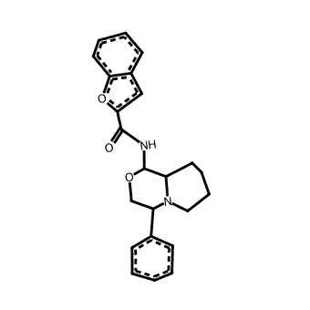 O=C(NC1OCC(c2ccccc2)N2CCCCC12)c1cc2ccccc2o1